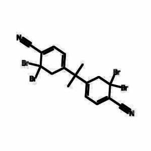 CC(C)(C1=CC=C(C#N)C(Br)(Br)C1)C1=CC=C(C#N)C(Br)(Br)C1